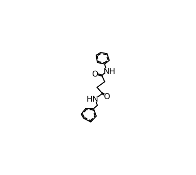 O=C(CCC(=O)Nc1ccccc1)NCc1ccccc1